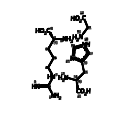 N=C(N)NCCC[C@H](N)C(=O)O.NCC(=O)O.N[C@@H](Cc1c[nH]cn1)C(=O)O